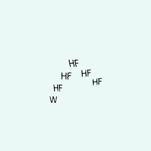 F.F.F.F.F.[W]